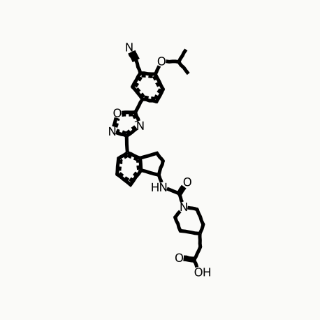 CC(C)Oc1ccc(-c2nc(-c3cccc4c3CCC4NC(=O)N3CCC(CC(=O)O)CC3)no2)cc1C#N